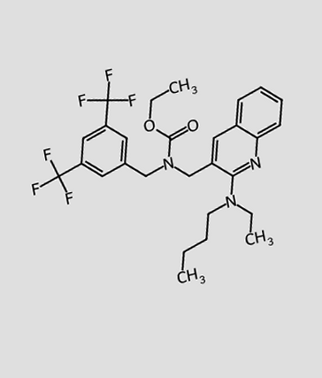 CCCCN(CC)c1nc2ccccc2cc1CN(Cc1cc(C(F)(F)F)cc(C(F)(F)F)c1)C(=O)OCC